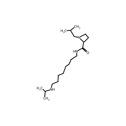 CC(C)CN1CCC1C(=O)NCCCCCCCCNC(C)C